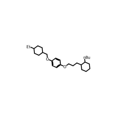 CCCCC1CCCCC1CCCOc1ccc(OCC2CCC(CC)CC2)cc1